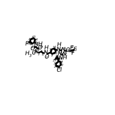 CN(CCCNC(=O)c1ccc(Nc2nc(NC3(c4ccc(Cl)cc4)CC3)nc(OCC(F)(F)F)n2)cc1)C(=O)C(=O)Nc1cccc(F)c1